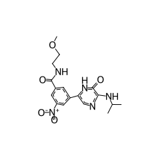 COCCNC(=O)c1cc(-c2cnc(NC(C)C)c(=O)[nH]2)cc([N+](=O)[O-])c1